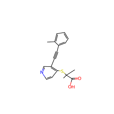 Cc1ccccc1C#Cc1cnccc1SC(C)(C)C(=O)O